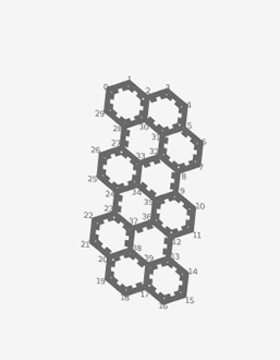 c1cc2ccc3ccc4c5ccc6c7cccc8ccc9ccc%10c%11ccc%12c(c1)c2c3c4c%12c%11c5c6c%10c9c87